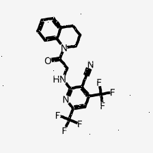 N#Cc1c(C(F)(F)F)cc(C(F)(F)F)nc1NCC(=O)N1CCCc2ccccc21